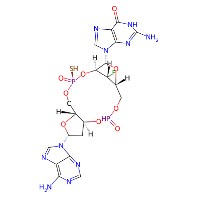 Nc1nc2c(ncn2[C@@H]2O[C@@H]3CO[PH](=O)O[C@H]4C[C@H](n5cnc6c(N)ncnc65)O[C@@H]4CO[P@@](=O)(S)O[C@@H]2[C@@H]3F)c(=O)[nH]1